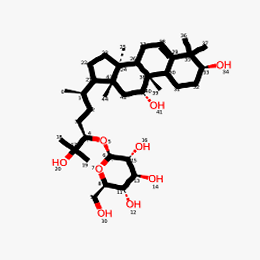 C[C@H](CC[C@@H](O[C@@H]1O[C@H](CO)[C@@H](O)[C@H](O)[C@H]1O)C(C)(C)O)C1CC[C@@]2(C)C3CC=C4C(CC[C@H](O)C4(C)C)[C@]3(C)[C@H](O)C[C@]12C